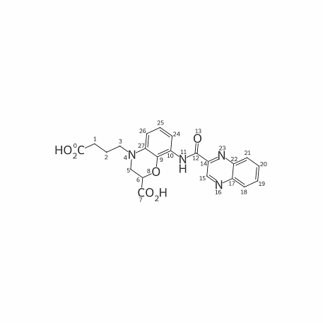 O=C(O)CCCN1CC(C(=O)O)Oc2c(NC(=O)c3cnc4ccccc4n3)cccc21